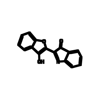 O=C1C(c2oc3ccccc3c2O)=Nc2ccccc21